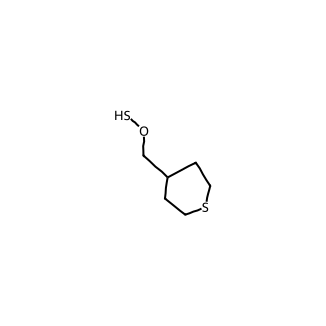 SOCC1CCSCC1